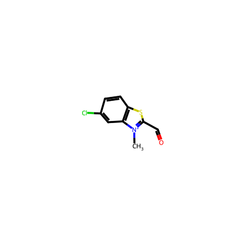 C[n+]1c(C=O)sc2ccc(Cl)cc21